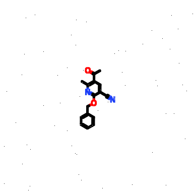 CC(=O)c1cc(C#N)c(OCc2ccccc2)nc1C